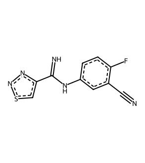 N#Cc1cc(NC(=N)c2csnn2)ccc1F